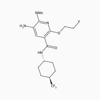 CNc1nc(OCCF)c(C(=O)N[C@H]2CC[C@H](C(F)(F)F)CC2)cc1N